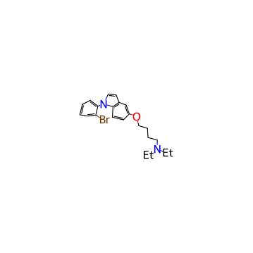 CCN(CC)CCCCOc1ccc2c(ccn2-c2ccccc2Br)c1